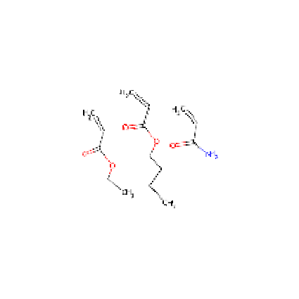 C=CC(=O)OCC.C=CC(=O)OCCCC.C=CC(N)=O